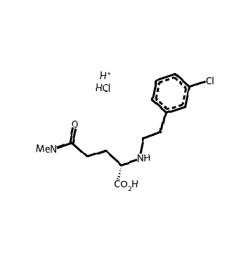 CNC(=O)CC[C@H](NCCc1cccc(Cl)c1)C(=O)O.Cl.[H+]